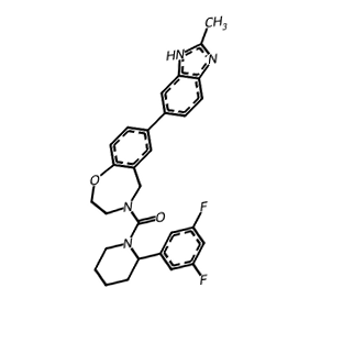 Cc1nc2ccc(-c3ccc4c(c3)CN(C(=O)N3CCCCC3c3cc(F)cc(F)c3)CCO4)cc2[nH]1